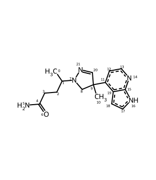 CC(CCC(N)=O)N1CC(C)(c2ccnc3[nH]ccc23)C=N1